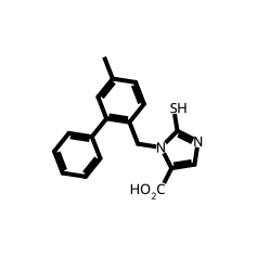 Cc1ccc(Cn2c(C(=O)O)cnc2S)c(-c2ccccc2)c1